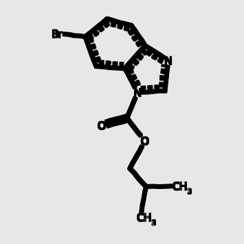 CC(C)COC(=O)n1cnc2ccc(Br)cc21